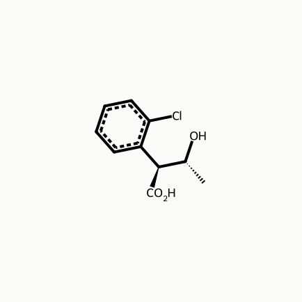 C[C@@H](O)[C@@H](C(=O)O)c1ccccc1Cl